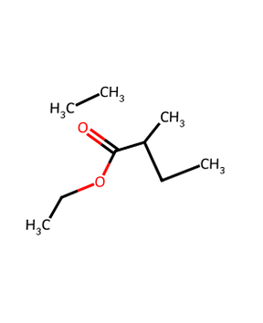 CC.CCOC(=O)C(C)CC